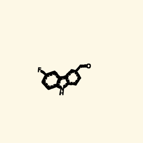 O=Cc1ccc2[nH]c3ccc(F)cc3c2c1